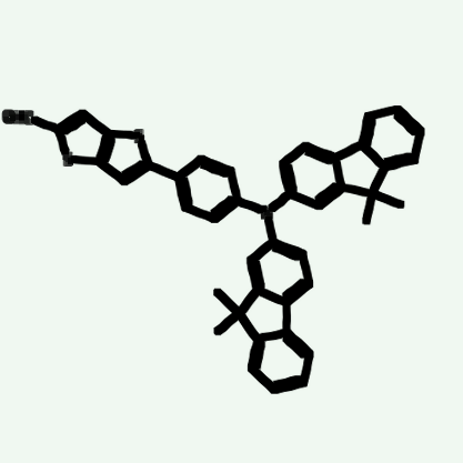 CC1(C)c2ccccc2-c2ccc(N(c3ccc(-c4cc5sc(C=O)cc5s4)cc3)c3ccc4c(c3)C(C)(C)c3ccccc3-4)cc21